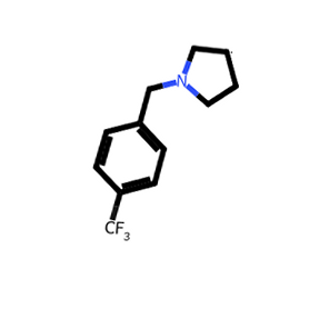 FC(F)(F)c1ccc(CN2C[CH]CC2)cc1